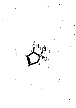 CC1C=CCP1(C)=O